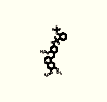 COc1cc(NS(=O)(=O)c2ccccc2OC(F)(F)F)ccc1Cc1ccnc2cc(OC)c(OC)cc12